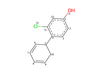 Oc1ccc(C2C=CC=CC2)c(Cl)c1